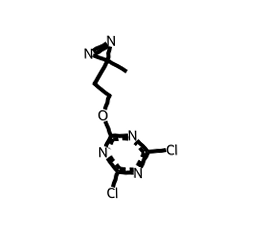 CC1(CCOc2nc(Cl)nc(Cl)n2)N=N1